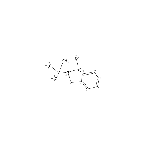 CC(C)(C)N1Cc2ccccc2[S+]1[O-]